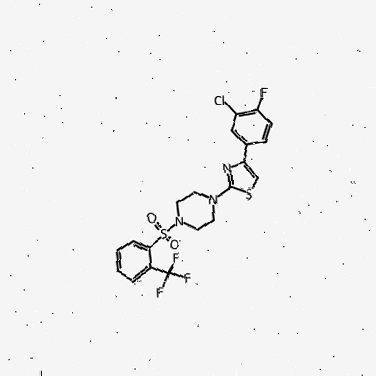 O=S(=O)(c1ccccc1C(F)(F)F)N1CCN(c2nc(-c3ccc(F)c(Cl)c3)cs2)CC1